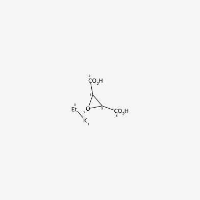 C[CH2][K].O=C(O)C1OC1C(=O)O